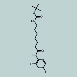 CC(C)(C)OC(=O)NCCCCCCC(=O)Nc1ccc(F)cc1F